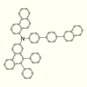 c1ccc(-c2c(-c3ccccc3)c3cc(N(c4ccc(-c5ccc(-c6ccc7ccccc7c6)cc5)cc4)c4cccc5c4ccc4ccccc45)ccc3c3ccccc23)cc1